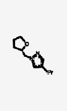 CC(C)c1cnn(C[C@H]2CCCO2)c1